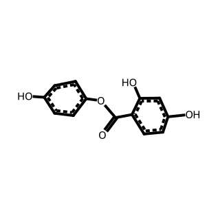 O=C(Oc1ccc(O)cc1)c1ccc(O)cc1O